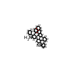 Nc1ccc(-c2ccc3cc4ccccc4cc3c2-c2ccc(N)c(-c3ccccc3)c2-c2ccccc2)c(-c2ccccc2)c1-c1ccccc1